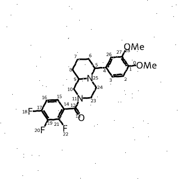 COc1ccc(C2CCCC3CN(C(=O)c4ccc(F)c(F)c4F)CCN32)cc1OC